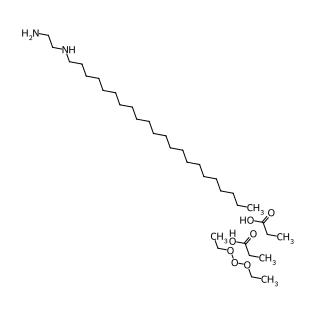 CCC(=O)O.CCC(=O)O.CCCCCCCCCCCCCCCCCCCCCCNCCN.CCOOOCC